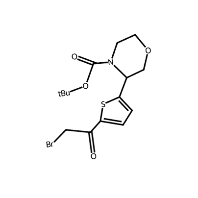 CC(C)(C)OC(=O)N1CCOCC1c1ccc(C(=O)CBr)s1